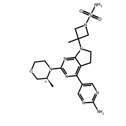 C[C@H]1COCCN1c1nc(-c2cnc(N)nc2)c2c(n1)N(C1(C)CN(S(N)(=O)=O)C1)CC2